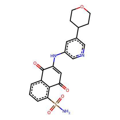 NS(=O)(=O)c1cccc2c1C(=O)C=C(Nc1cncc(C3CCOCC3)c1)C2=O